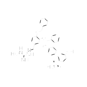 Cc1ccc(S(=O)(=O)O)cc1.N=C(NO)NN=Cc1ccc(OCc2ccccc2)c(OCc2ccccc2)c1OCc1ccccc1